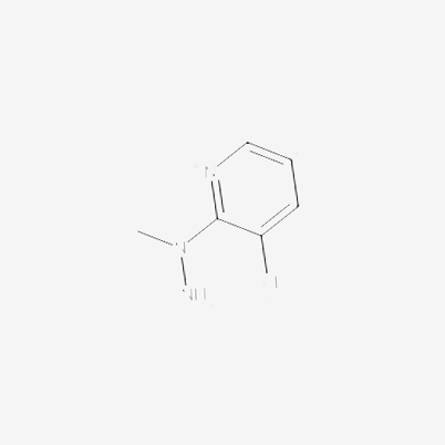 CN(N)c1ncccc1C(F)(F)F